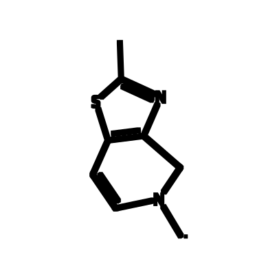 [CH2]N1C=Cc2sc(C)nc2C1